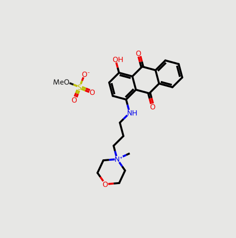 COS(=O)(=O)[O-].C[N+]1(CCCNc2ccc(O)c3c2C(=O)c2ccccc2C3=O)CCOCC1